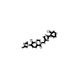 Cc1cn(-c2ccc3n(c2=O)CCN(Cc2csc(-c4ccccc4Cl)n2)C3=O)cn1